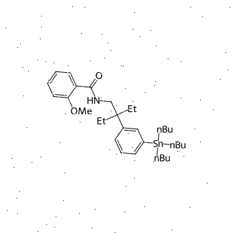 CCC[CH2][Sn]([CH2]CCC)([CH2]CCC)[c]1cccc(C(CC)(CC)CNC(=O)c2ccccc2OC)c1